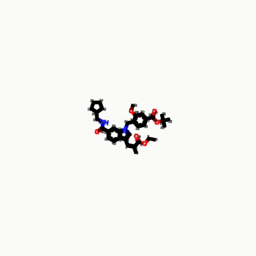 CCOC(=O)C(C)=Cc1cn(Cc2ccc(C(=O)OC(C)(C)C)cc2OC)c2cc(C(=O)NCC3CCCC3)ccc12